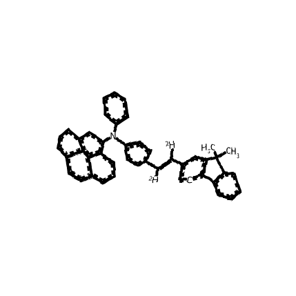 [2H]/C(=C(/[2H])c1ccc2c(c1)C(C)(C)c1ccccc1-2)c1ccc(N(c2ccccc2)c2cc3cccc4ccc5cccc2c5c43)cc1